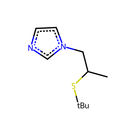 CC(Cn1ccnc1)SC(C)(C)C